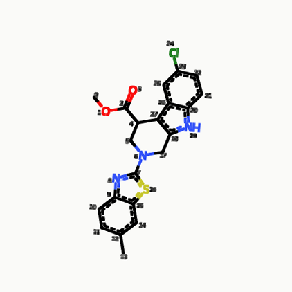 COC(=O)C1CN(c2nc3ccc(C)cc3s2)Cc2[nH]c3ccc(Cl)cc3c21